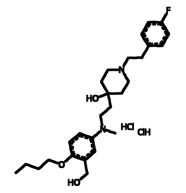 CCCCOc1ccc(N(C)CCC2(O)CCN(CCc3ccc(F)cc3)CC2)cc1CO.Cl.Cl